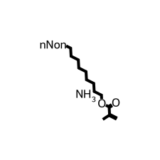 C=C(C)C(=O)OCCCCCCCCCCCCCCCCCC.N